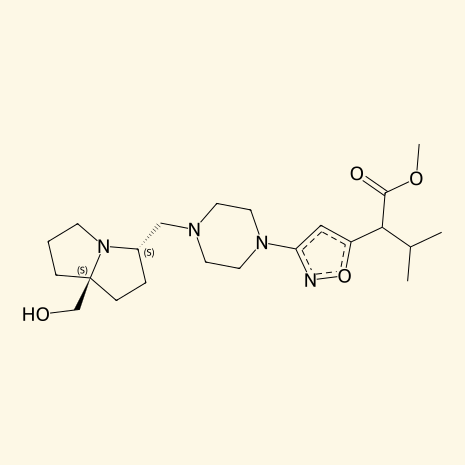 COC(=O)C(c1cc(N2CCN(C[C@@H]3CC[C@]4(CO)CCCN34)CC2)no1)C(C)C